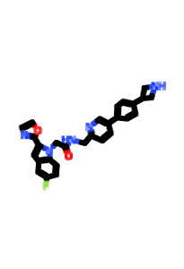 O=C(Cn1c(-c2ncco2)cc2cc(F)ccc21)NCc1ccc(-c2ccc(C3CNC3)cc2)cn1